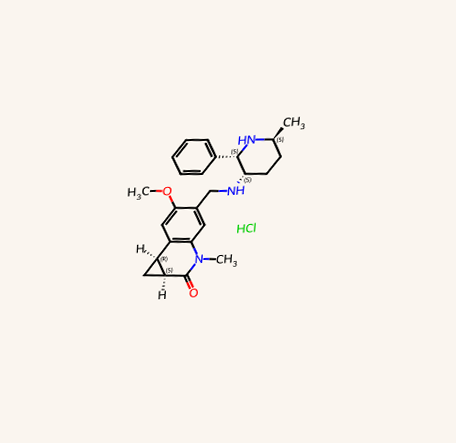 COc1cc2c(cc1CN[C@H]1CC[C@H](C)N[C@H]1c1ccccc1)N(C)C(=O)[C@H]1C[C@@H]21.Cl